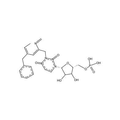 C=N/C(=C\C(=C/C)Cc1ccccc1)Cn1c(=O)ccn([C@@H]2O[C@H](COP(=O)(O)O)C(O)C2O)c1=O